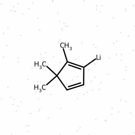 [Li][C]1=C(C)C(C)(C)C=C1